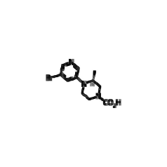 C[C@H]1CN(C(=O)O)CCN1c1cncc(Br)c1